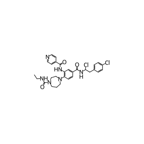 CCNC(=O)N1CCCN(c2ccc(C(=O)NC(Cl)Cc3ccc(Cl)cc3)cc2NC(=O)c2ccncc2)CC1